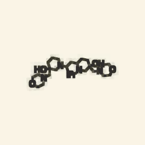 CC(CC1CC[C@](O)(CN2CCOCC2)CN1C(C)C)N1CCC[C@@](O)(CN2CCOCC2)C1